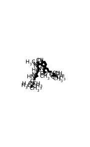 COC(=O)c1c(CCCO[Si](C)(C)C(C)(C)C)c2ccc(Cl)c(-c3c(COCc4cc(CO[Si](C)(C)C(C)(C)C)[nH]n4)nn(C)c3C)c2n1C